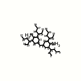 CCCC(CC)C1CC(CC2CC(C(CC)CCC)C(N)C(C(CC)CCC)C2)CC(C(CC)CCC)C1N